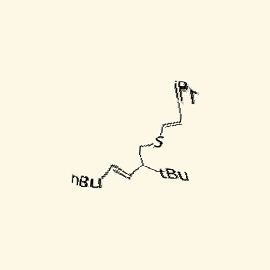 CCCCC=CC(CSC=CC(C)C)C(C)(C)C